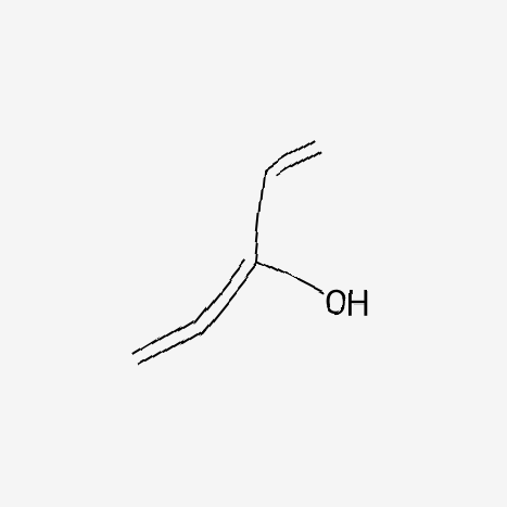 C=C=C(O)C=C